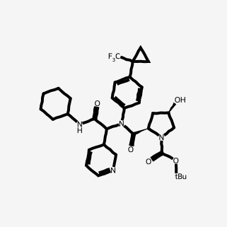 CC(C)(C)OC(=O)N1C[C@H](O)C[C@@H]1C(=O)N(c1ccc(C2(C(F)(F)F)CC2)cc1)C(C(=O)NC1CCCCC1)C1C=CC=NC1